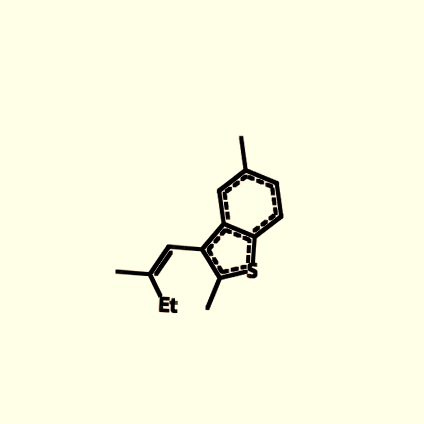 CC/C(C)=C\c1c(C)sc2ccc(C)cc12